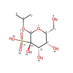 CC(C)OC1O[C@H](CO)[C@H](O)[C@H](O)[C@]1(O)S(=O)(=O)O